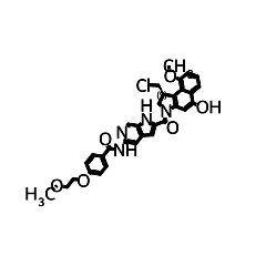 COCCOc1ccc(C(=O)Nc2cc3cc(C(=O)N4C[C@@H](CCl)c5c4cc(O)c4cccc(OC)c54)[nH]c3cn2)cc1